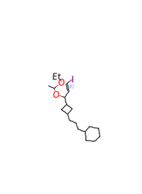 CCOC(C)OC(/C=C/I)C1CC(CCCC2CCCCC2)C1